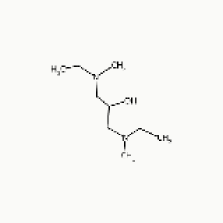 CCN(C)CC(O)CN(C)CC